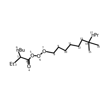 CCCCC(CC)C(=O)OOOCCCCCCC(C)(C)CCC